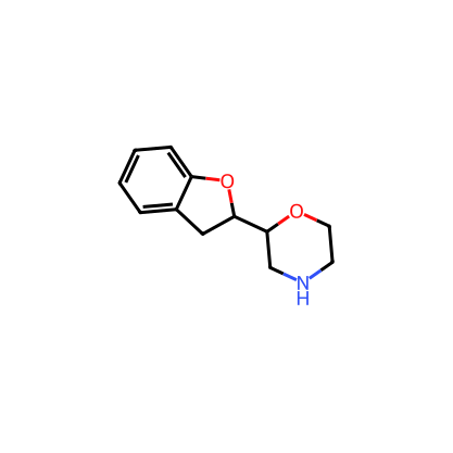 c1ccc2c(c1)CC(C1CNCCO1)O2